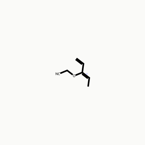 C=C/C(=C/C)OCC#N